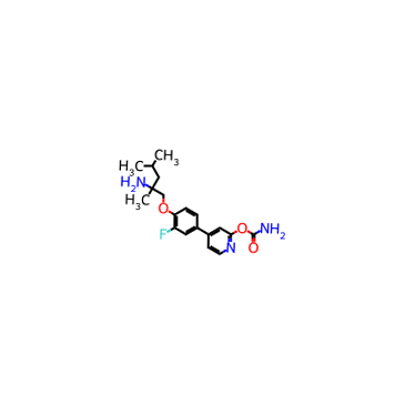 CC(C)CC(C)(N)COc1ccc(-c2ccnc(OC(N)=O)c2)cc1F